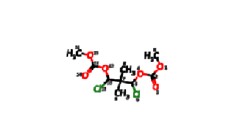 COC(=O)OC(Cl)C(C)(C)C(Cl)OC(=O)OC